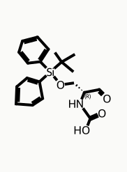 CC(C)(C)[Si](OC[C@H](C=O)NC(=O)O)(c1ccccc1)c1ccccc1